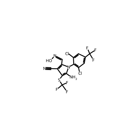 N#Cc1c(SC(F)(F)F)c(N)n(-c2c(Cl)cc(C(F)(F)F)cc2Cl)c1/C=N\O